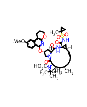 COc1ccc2c(O[C@@H]3C[C@H]4C(=O)N[C@]5(C(=O)NS(=O)(=O)C6(C)CC6)C[C@H]5C=CCC[C@H](C)C[C@@H](C)[C@H](N(C(=O)O)C(C)(C)C(F)(F)F)C(=O)N4C3)nc3c(c2c1)CCCO3